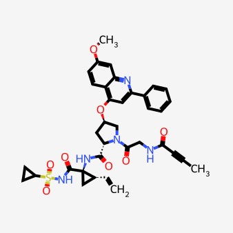 C=C[C@@H]1C[C@]1(NC(=O)[C@@H]1C[C@@H](Oc2cc(-c3ccccc3)nc3cc(OC)ccc23)CN1C(=O)CNC(=O)C#CC)C(=O)NS(=O)(=O)C1CC1